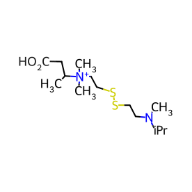 CC(C)N(C)CCSSCC[N+](C)(C)C(C)CC(=O)O